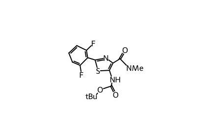 CNC(=O)c1nc(-c2c(F)cccc2F)sc1NC(=O)OC(C)(C)C